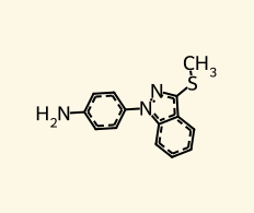 CSc1nn(-c2ccc(N)cc2)c2ccccc12